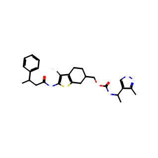 Cc1n[nH]cc1C(C)NC(=O)OCC1CCc2c(sc(NC(=O)CC(C)c3ccccc3)c2C#N)C1